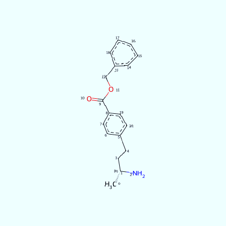 C[C@@H](N)CCc1ccc(C(=O)OCc2ccccc2)cc1